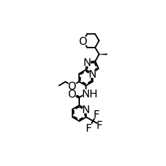 CCOc1cc2nc([C@H](C)C3CCCOC3)cn2cc1NC(=O)c1cccc(C(F)(F)F)n1